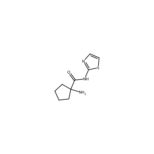 NC1(C(=O)Nc2nccs2)CCCC1